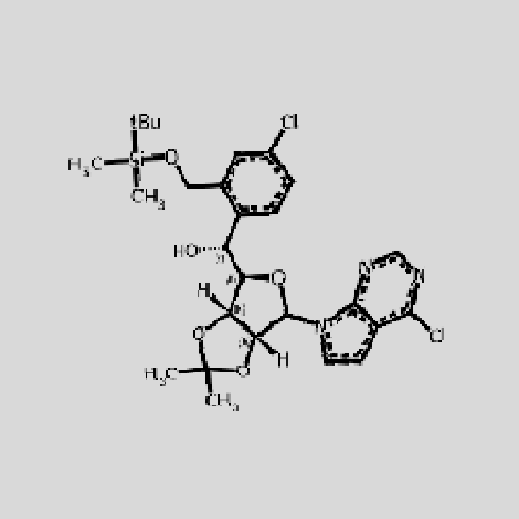 CC1(C)O[C@@H]2[C@@H]([C@H](O)c3ccc(Cl)cc3CO[Si](C)(C)C(C)(C)C)OC(n3ccc4c(Cl)ncnc43)[C@@H]2O1